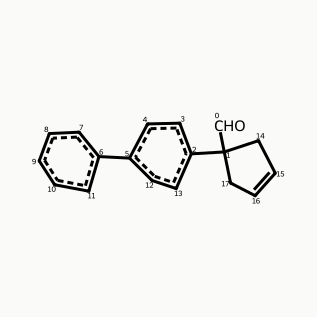 O=CC1(c2ccc(-c3ccccc3)cc2)CC=CC1